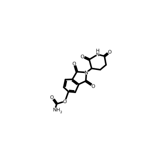 NC(=O)Oc1ccc2c(c1)C(=O)N(C1CCC(=O)NC1=O)C2=O